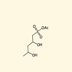 CC(=O)OS(=O)(=O)CC(O)CC(C)O